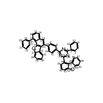 c1ccc(-c2nc(-c3ccc(-c4cc5cccc(-c6ccccc6)c5c5oc6ccccc6c45)cc3)nc(-c3cccc4oc5ccccc5c34)n2)cc1